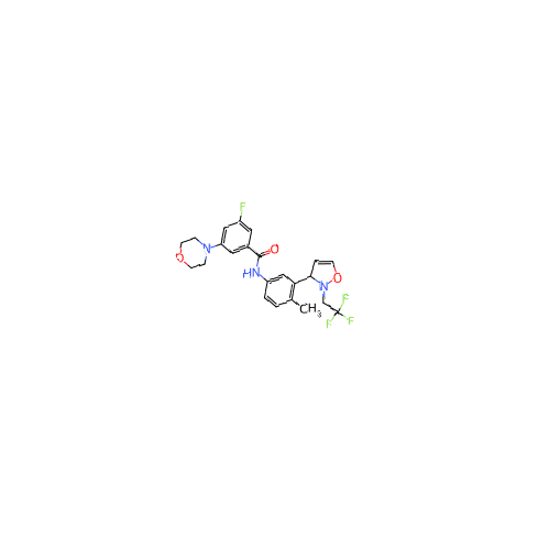 Cc1ccc(NC(=O)c2cc(F)cc(N3CCOCC3)c2)cc1C1C=CON1CC(F)(F)F